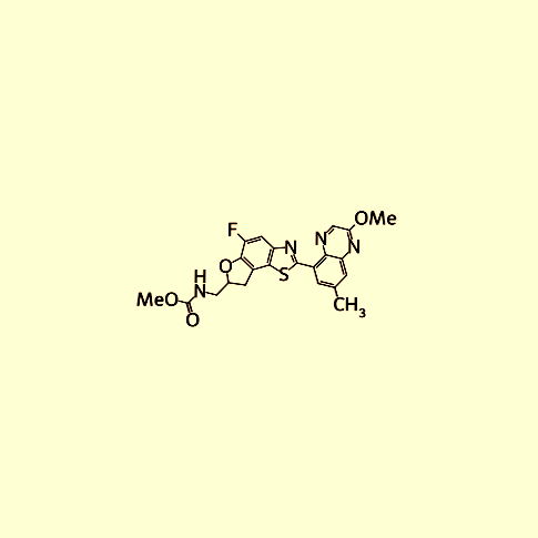 COC(=O)NCC1Cc2c(c(F)cc3nc(-c4cc(C)cc5nc(OC)cnc45)sc23)O1